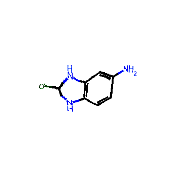 Nc1ccc2c(c1)NC(Cl)N2